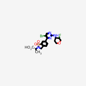 C[C@H](C(=O)O)N1Cc2ccc(-c3nc(NC4CCOCC4F)ncc3Br)cc2S1(=O)=O